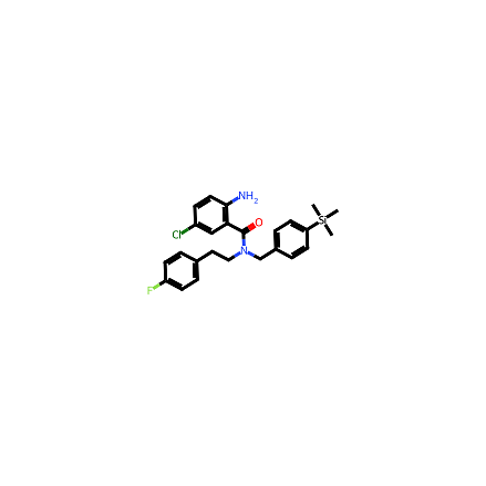 C[Si](C)(C)c1ccc(CN(CCc2ccc(F)cc2)C(=O)c2cc(Cl)ccc2N)cc1